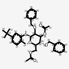 CC(=O)OCC1O[C@@H](Sc2cc(C(C)(C)C)ccc2C)C(OCc2ccccc2)C(OC(C)=O)[C@@H]1OCc1ccccc1